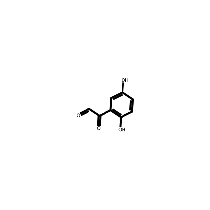 O=CC(=O)c1cc(O)ccc1O